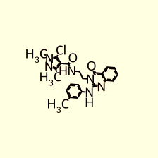 Cc1cccc(Nc2nc3ccccc3c(=O)n2CCNC(=O)c2c(C)nn(C)c2Cl)c1